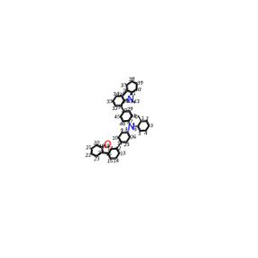 Cc1ccccc1N(c1ccc(-c2cccc3c2oc2ccccc23)cc1)c1ccc(-c2cccc3c4ccccc4n(C)c23)cc1